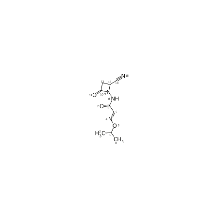 CC(C)ON=CC(=O)NN1C(=O)CC1C#N